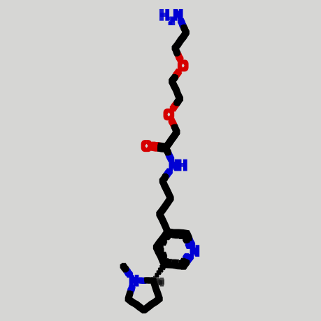 CN1CCC[C@H]1c1cncc(CCCNC(=O)COCCOCCN)c1